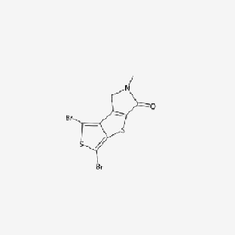 CN1Cc2c(sc3c(Br)sc(Br)c23)C1=O